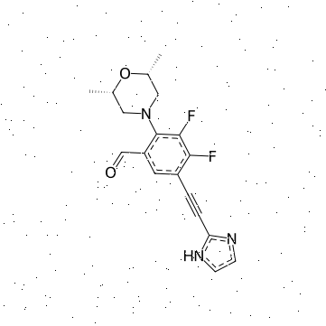 C[C@@H]1CN(c2c(C=O)cc(C#Cc3ncc[nH]3)c(F)c2F)C[C@H](C)O1